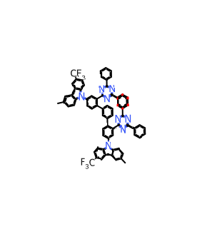 Cc1ccc2c(c1)c1cc(C(F)(F)F)ccc1n2-c1ccc(-c2cccc(-c3ccc(-n4c5ccc(C)cc5c5cc(C(F)(F)F)ccc54)cc3-c3nc(-c4ccccc4)nc(-c4ccccc4)n3)c2)c(-c2nc(-c3ccccc3)nc(-c3ccccc3)n2)c1